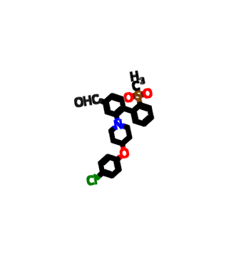 CS(=O)(=O)c1ccccc1-c1ccc(C=O)cc1N1CCC(Oc2ccc(Cl)cc2)CC1